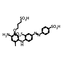 Cc1cc(N)c(OCCCS(=O)(=O)O)cc1Nc1ccc(N=Nc2ccc(S(=O)(=O)O)cc2)cc1S(=O)(=O)O